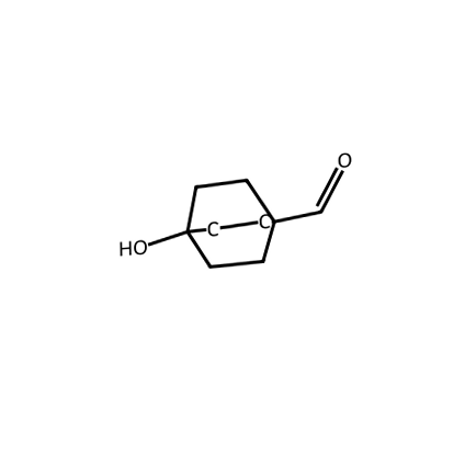 O=CC12CCC(O)(CC1)CC2